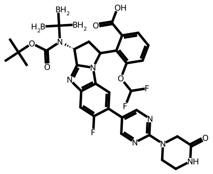 BC(B)(B)N(C(=O)OC(C)(C)C)[C@@H]1CC(c2c(OC(F)F)cccc2C(=O)O)n2c1nc1cc(F)c(-c3cnc(N4CCNC(=O)C4)nc3)cc12